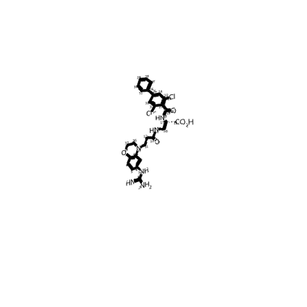 N=C(N)Nc1ccc2c(c1)N(CCC(=O)NC[C@H](NC(=O)c1c(Cl)cc(-c3ccccc3)cc1Cl)C(=O)O)CCO2